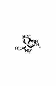 CC[N+](CC)(CC)C(=N)N.[OH-]